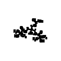 CCC(C)C(=O)OCC(CC)(COC(=O)C(O)(C(F)(F)F)C(F)(F)F)COC(=O)C(O)(C(F)(F)F)C(F)(F)F